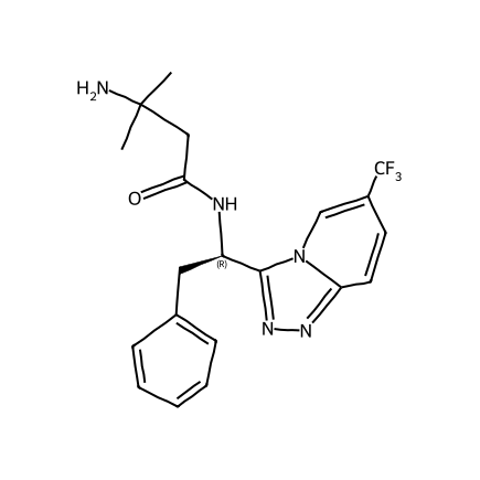 CC(C)(N)CC(=O)N[C@H](Cc1ccccc1)c1nnc2ccc(C(F)(F)F)cn12